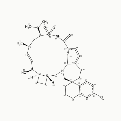 CC(C)[C@@H]1C[C@H](C)/C=C/[C@H](O)[C@@H]2CC[C@H]2CN2C[C@@]3(CCCc4cc(Cl)ccc43)COc3ccc(cc32)C(=O)NS1(=O)=O